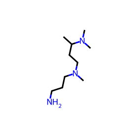 CC(CCN(C)CCCN)N(C)C